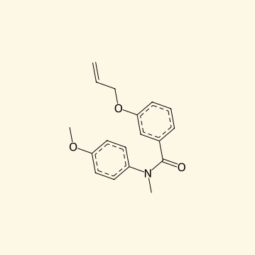 C=CCOc1cccc(C(=O)N(C)c2ccc(OC)cc2)c1